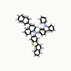 c1ccc(-n2c3ccccc3c3ccc(N(c4ccc5sc6c7ccccc7ccc6c5c4)c4ccc(-c5ccc6ccccc6c5)c5ccccc45)cc32)cc1